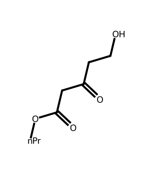 CCCOC(=O)CC(=O)CCO